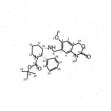 COc1cc2c(cc1CN[C@H]1CCCN(C(=O)OC(C)(C)C)[C@H]1c1ccccc1)N(C)C(=O)OC2